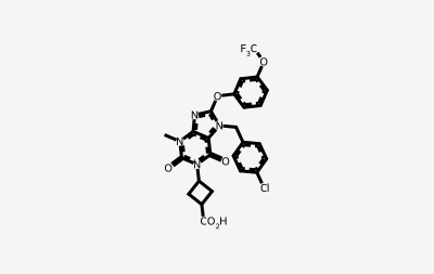 Cn1c(=O)n(C2CC(C(=O)O)C2)c(=O)c2c1nc(Oc1cccc(OC(F)(F)F)c1)n2Cc1ccc(Cl)cc1